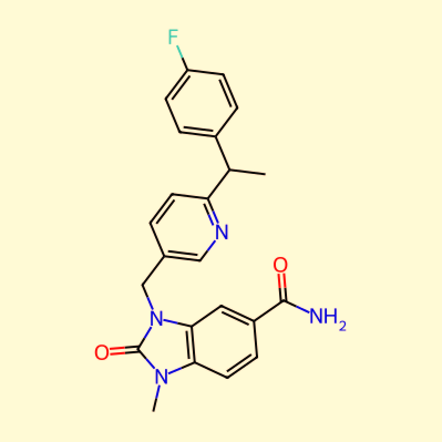 CC(c1ccc(F)cc1)c1ccc(Cn2c(=O)n(C)c3ccc(C(N)=O)cc32)cn1